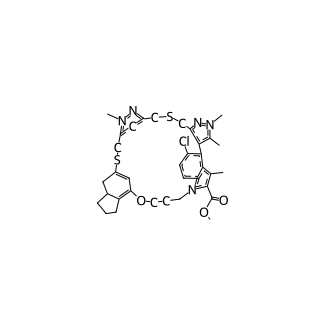 COC(=O)c1c(C)c2c3c(Cl)ccc2n1CCCOC1=C2CCCC2CC(=C1)SCc1cc(nn1C)CSCc1nn(C)c(C)c1-3